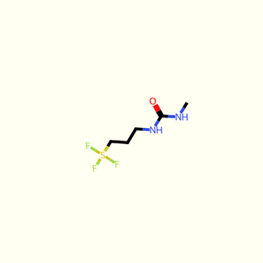 CNC(=O)NCCCS(F)(F)F